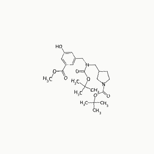 COC(=O)c1cc(O)cc(CN(CC2CCN(C(=O)OC(C)(C)C)C2)C(=O)OC(C)(C)C)c1